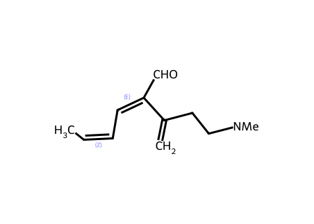 C=C(CCNC)/C(C=O)=C\C=C/C